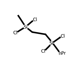 CCC[Si](Cl)(Cl)CC[Si](C)(Cl)Cl